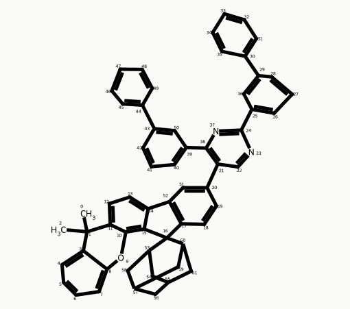 CC1(C)c2ccccc2Oc2c1ccc1c2C2(c3ccc(-c4cnc(-c5cccc(-c6ccccc6)c5)nc4-c4cccc(-c5ccccc5)c4)cc3-1)C1CC3CC(C1)CC2C3